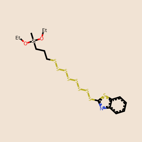 CCO[Si](C)(CCCSSSSSSSSc1nc2ccccc2s1)OCC